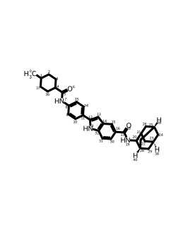 CC1CCC(C(=O)Nc2ccc(-c3cc4cc(C(=O)NC5C6C[C@H]7C[C@@H](C6)C[C@@H]5C7)ccc4[nH]3)cc2)CC1